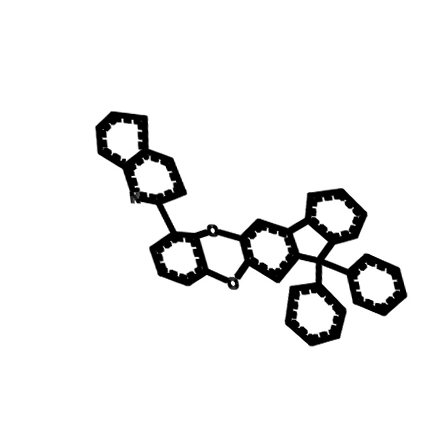 c1ccc(C2(c3ccccc3)c3ccccc3-c3cc4c(cc32)Oc2cccc(-c3ccc5ccccc5n3)c2O4)cc1